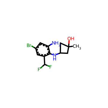 CC1(O)CC(Nc2c(N)cc(Br)cc2C(F)F)C1